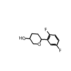 OC1CCC(c2cc(F)ccc2F)OC1